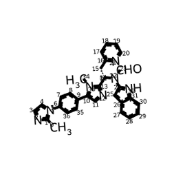 Cc1nccn1-c1ccc(-c2cnc([C@H](Cc3ccccn3)N(C=O)c3cc4ccccc4[nH]3)n2C)cc1